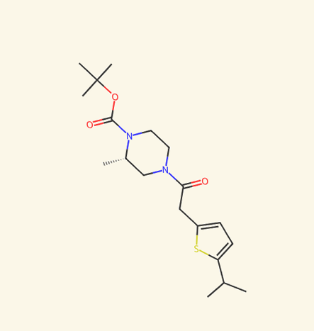 CC(C)c1ccc(CC(=O)N2CCN(C(=O)OC(C)(C)C)[C@@H](C)C2)s1